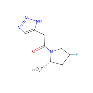 O=C(O)[C@H]1CC(F)CN1C(=O)Cc1cnn[nH]1